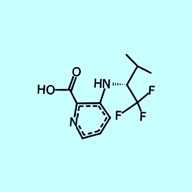 CC(C)[C@@H](Nc1cccnc1C(=O)O)C(F)(F)F